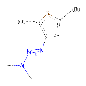 CN(C)/N=N/c1cc(C(C)(C)C)sc1C#N